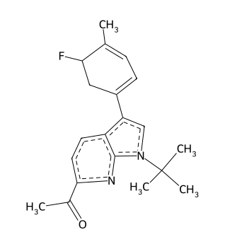 CC(=O)c1ccc2c(C3=CC=C(C)C(F)C3)cn(C(C)(C)C)c2n1